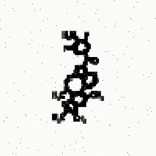 Cc1cc2c(nc(C)n2C)c2c1-c1cccc3c(C(=O)c4cc(F)c(N)c(F)c4)cn(c13)CCN2C